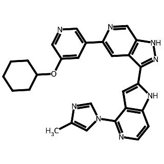 Cc1cn(-c2nccc3[nH]c(-c4n[nH]c5cnc(-c6cncc(OC7CCCCC7)c6)cc45)cc23)cn1